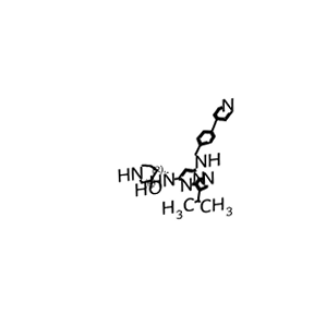 CC(C)c1cnn2c(NCc3ccc(-c4ccncc4)cc3)cc(NC[C@H]3CCNC[C@@H]3O)nc12